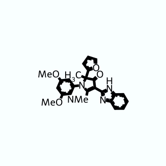 CNC1=C(c2nc3ccccc3[nH]2)C(=O)C(C)(c2ccco2)N1c1cc(OC)cc(OC)c1